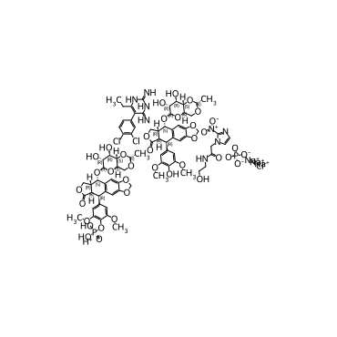 CCc1[nH]c(=N)[nH]c(=N)c1-c1ccc(Cl)c(Cl)c1.COc1cc([C@@H]2c3cc4c(cc3[C@@H](O[C@@H]3O[C@@H]5CO[C@@H](C)O[C@H]5[C@H](O)[C@H]3O)[C@H]3COC(=O)[C@H]23)OCO4)cc(OC)c1O.COc1cc([C@@H]2c3cc4c(cc3[C@@H](O[C@@H]3O[C@@H]5CO[C@@H](C)O[C@H]5[C@H](O)[C@H]3O)[C@H]3COC(=O)[C@H]23)OCO4)cc(OC)c1OP(=O)(O)O.O=C(Cn1ccnc1[N+](=O)[O-])NCCO.O=P([O-])([O-])[O-].[Cl-].[H+].[Na+].[Na+].[Na+]